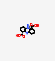 O=C(O)[C@@H]1CC=CC2=C1N=C1C=CC[C@@H](C(=O)O)[C@@H]1N2